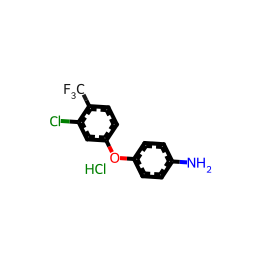 Cl.Nc1ccc(Oc2ccc(C(F)(F)F)c(Cl)c2)cc1